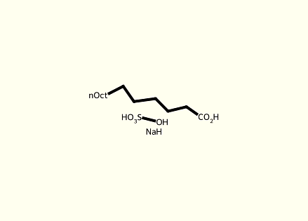 CCCCCCCCCCCCCC(=O)O.O=S(=O)(O)O.[NaH]